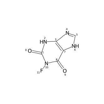 O=c1[nH]c2nc[nH]c2c(=O)n1F